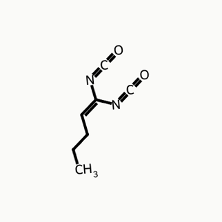 CCCC=C(N=C=O)N=C=O